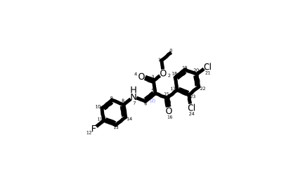 CCOC(=O)/C(=C\Nc1ccc(F)cc1)C(=O)c1ccc(Cl)cc1Cl